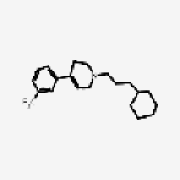 FC(F)(F)c1cccc(C2=CCN(CCCC3CCCCC3)CC2)c1